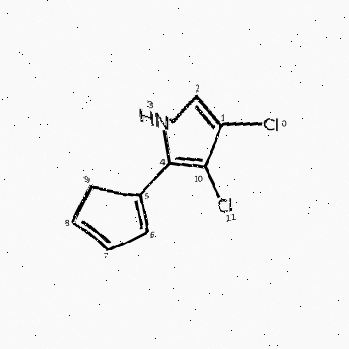 Clc1c[nH]c(C2=CC=CC2)c1Cl